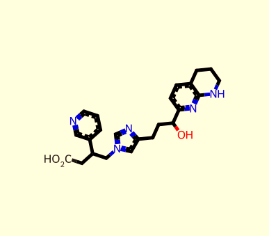 O=C(O)CC(Cn1cnc(CCC(O)c2ccc3c(n2)NCCC3)c1)c1cccnc1